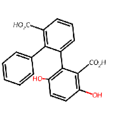 O=C(O)c1cccc(-c2c(O)ccc(O)c2C(=O)O)c1-c1ccccc1